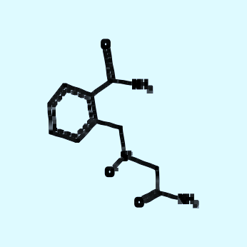 NC(=O)C[S+]([O-])Cc1ccccc1C(N)=O